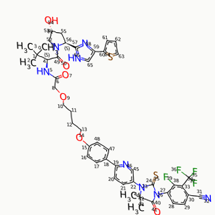 CC(C)(C)[C@H](NC(=O)COCCCCOc1ccc(-c2ccc(N3C(=S)N(c4ccc(C#N)c(C(F)(F)F)c4F)C(=O)C3(C)C)cn2)cc1)C(=O)N1C[C@H](O)C[C@H]1c1nc(-c2cccs2)c[nH]1